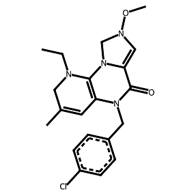 CCN1CC(C)=CC2=C1N1CN(OC)C=C1C(=O)N2Cc1ccc(Cl)cc1